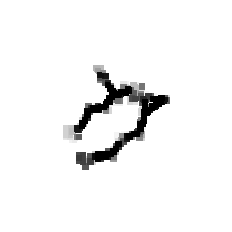 C=COCC1CO1.CCCC(O)O